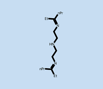 CCCC(CC)=NCCNCCN=C(CC)CCC